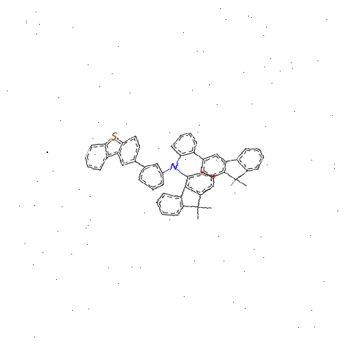 CC1(C)c2ccccc2-c2cc(-c3ccccc3N(c3cccc(-c4ccc5sc6ccccc6c5c4)c3)c3cccc4c3-c3ccccc3C4(C)C)ccc21